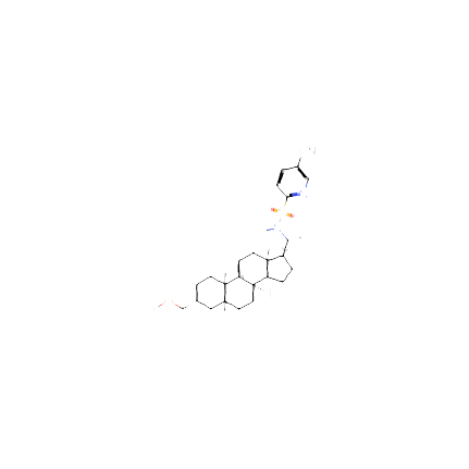 CCOC[C@H]1CC[C@]2(C)C3CC[C@@]4(C)C(CCC4[C@@H](C)N(C)S(=O)(=O)c4ccc(C#N)cn4)[C@@H]3CC[C@@H]2C1